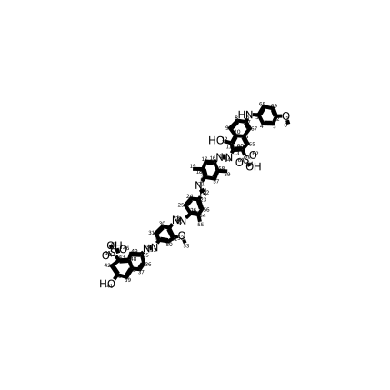 COc1ccc(Nc2ccc3c(O)c(N=Nc4cc(C)c(N=Nc5ccc(N=Nc6ccc(N=Nc7ccc8cc(O)cc(S(=O)(=O)O)c8c7)cc6OC)c(C)c5)cc4C)c(S(=O)(=O)O)cc3c2)cc1